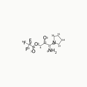 NC(C(=O)COC(=O)C(F)(F)F)N1CCCC1